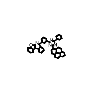 c1ccc(-c2nc(-c3cccc(-c4nc5oc6ccccc6c5c5ccccc45)c3)nc(-c3ccc4ccc5cccc6ccc3c4c56)n2)cc1